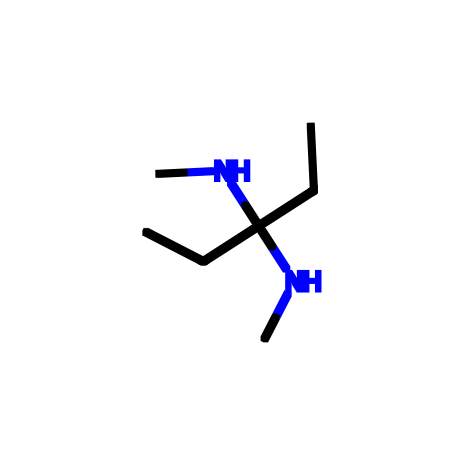 CCC(CC)(NC)NC